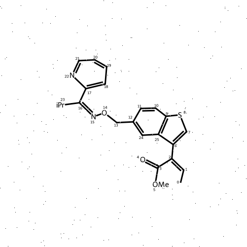 CC=C(C(=O)OC)c1csc2ccc(CON=C(c3ccccn3)C(C)C)cc12